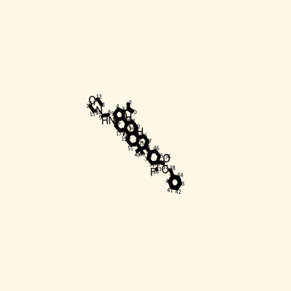 C=C(C)[C@@H]1CC[C@]2(NCCN3CCOCC3)CC[C@]3(C)[C@H](CC[C@@H]4[C@@]5(C)CC=C(C6=CC[C@](CF)(C(=O)OCc7ccccc7)CC6)C(C)(C)C5CC[C@]43C)C12